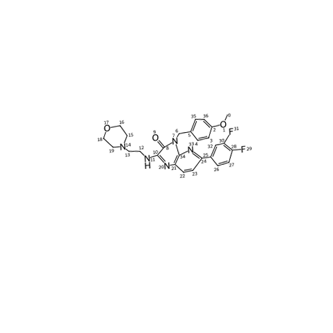 COc1ccc(Cn2c(=O)c(NCCN3CCOCC3)nc3ccc(-c4ccc(F)c(F)c4)nc32)cc1